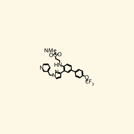 CNS(=O)(=O)CCNc1ccc(-c2ccc(OC(F)(F)F)cc2)cc1-c1ccn(Cc2cccnc2)n1